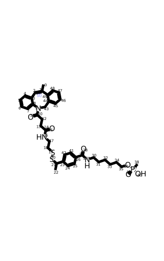 C/C1=C/c2ccccc2N(C(=O)CCC(=O)NCCSSC(C)c2ccc(C(=O)NCCCCCCOP(C)(=O)O)cc2)Cc2ccccc21